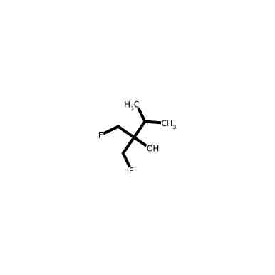 CC(C)C(O)(CF)CF